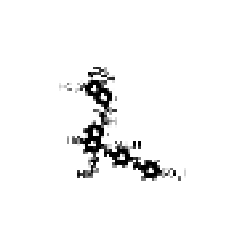 C=Nc1c(S(=O)(=O)O)cc2cc(NC(=O)Nc3ccc4c(O)cc(SOOO)c(/N=N/c5ccc(/N=N/c6ccc(S(=O)(=O)O)cc6)cc5S(=O)(=O)O)c4c3)ccc2c1O